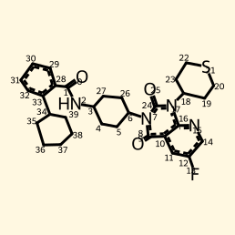 O=C(NC1CCC(n2c(=O)c3cc(F)cnc3n(C3CCSCC3)c2=O)CC1)c1ccccc1C1CCCCC1